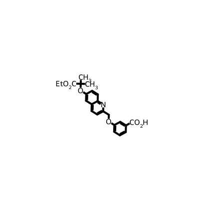 CCOC(=O)C(C)(C)Oc1ccc2nc(COc3cccc(C(=O)O)c3)ccc2c1